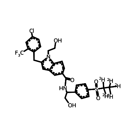 [2H]C([2H])([2H])C([2H])([2H])S(=O)(=O)c1ccc(C(CO)NC(=O)c2ccc3c(c2)cc(Cc2ccc(Cl)cc2C(F)(F)F)n3CCO)cc1